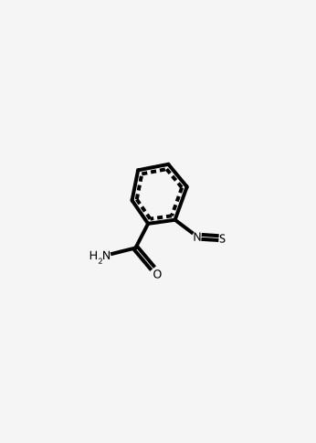 NC(=O)c1ccccc1N=S